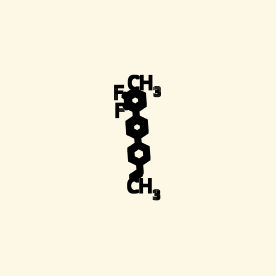 C/C=C/C1CCC(c2ccc(-c3ccc(C)c(F)c3F)cc2)CC1